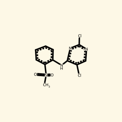 CS(=O)(=O)c1ccccc1Nc1nc(Cl)ncc1Cl